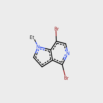 CCn1ccc2c(Br)ncc(Br)c21